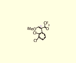 CO/C=C(/C(=O)C(F)(F)F)c1cccc(Cl)c1Cl